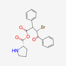 O=C(c1ccccc1)C(Br)C(C(=O)OC(=O)[C@@H]1CCCN1)c1ccccc1